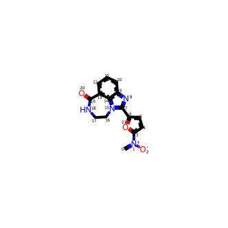 C=[N+]([O-])c1ccc(-c2nc3cccc4c3n2CCNC4=O)o1